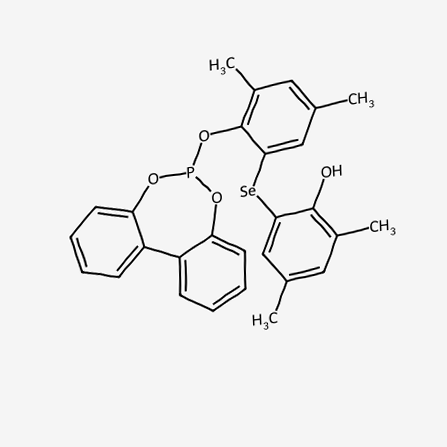 Cc1cc(C)c(O)c([Se]c2cc(C)cc(C)c2Op2oc3ccccc3c3ccccc3o2)c1